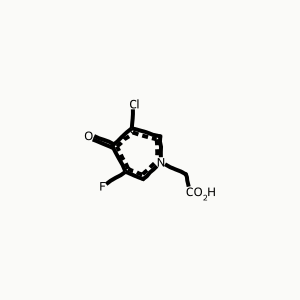 O=C(O)Cn1cc(F)c(=O)c(Cl)c1